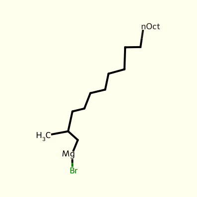 CCCCCCCCCCCCCCCCC(C)[CH2][Mg][Br]